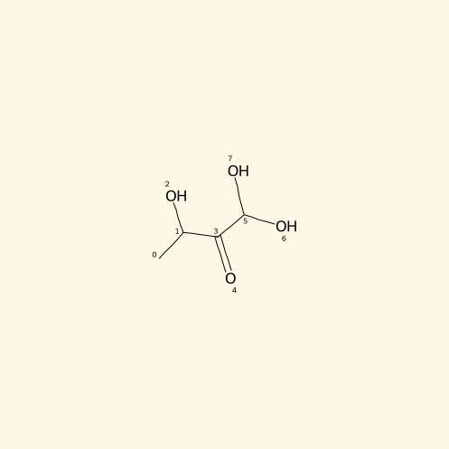 CC(O)C(=O)C(O)O